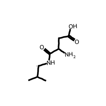 CC(C)[CH]NC(=O)C(N)CC(=O)O